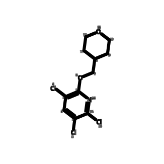 Clc1cc(Cl)c(OCC2CCOCC2)nc1Cl